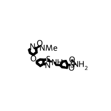 CNC(=O)c1cc(Oc2ccc3nc(NCc4ccc(S(N)(=O)=O)cc4)sc3c2)ccn1